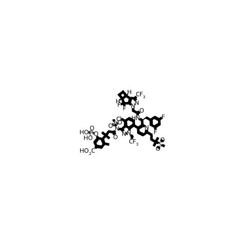 Cc1cc(C(=O)O)cc(OP(=O)(O)O)c1C(C)(C)CC(=O)N(c1nn(CC(F)(F)F)c2c(-c3ccc(CCC(C)(C)S(C)(=O)=O)nc3[C@H](Cc3cc(F)cc(F)c3)NC(=O)Cn3nc(C(F)(F)F)c4c3C(F)(F)[C@@H]3CC[C@H]43)ccc(Cl)c12)S(C)(=O)=O